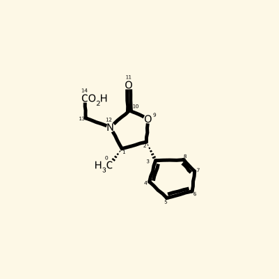 C[C@H]1[C@@H](c2ccccc2)OC(=O)N1CC(=O)O